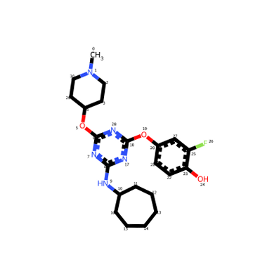 CN1CCC(Oc2nc(NC3CCCCCC3)nc(Oc3ccc(O)c(F)c3)n2)CC1